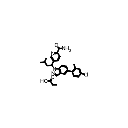 CCC(=O)O.Cc1cc(Cl)ccc1-c1ccc2c(cnn2C(CC(C)C)c2ccc(C(N)=O)nc2)c1